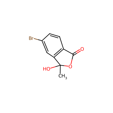 CC1(O)OC(=O)c2ccc(Br)cc21